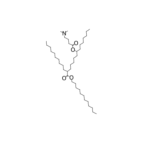 CCCCCCCCCCCCOC(=O)C(CCCCCCCCCC)CCCCCC(CCCCCCC)OC(=O)CCCN(C)C